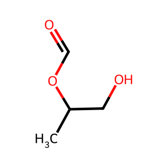 CC(CO)OC=O